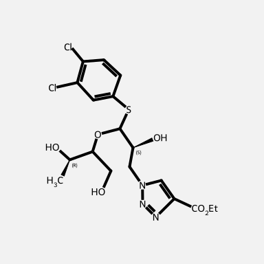 CCOC(=O)c1cn(C[C@H](O)C(OC(CO)[C@@H](C)O)Sc2ccc(Cl)c(Cl)c2)nn1